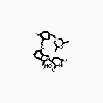 CC1CN(Cc2ccc(F)c(COc3cccc4c3CN([C@@]3(O)CCC(=O)NC3=O)C4=O)c2)CC(C)O1